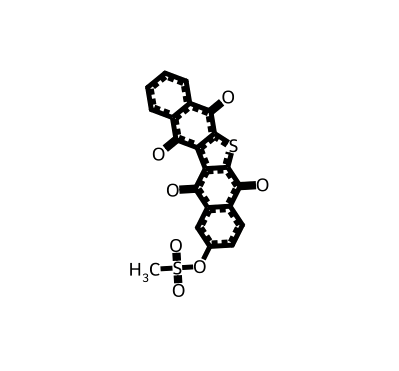 CS(=O)(=O)Oc1ccc2c(=O)c3sc4c(=O)c5ccccc5c(=O)c4c3c(=O)c2c1